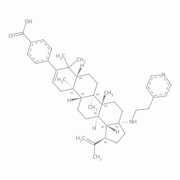 C=C(C)[C@@H]1CC[C@]2(NCCc3ccncc3)CC[C@]3(C)[C@H](CC[C@@H]4[C@@]5(C)CC=C(c6ccc(C(=O)O)cc6)C(C)(C)[C@@H]5CC[C@]43C)[C@@H]12